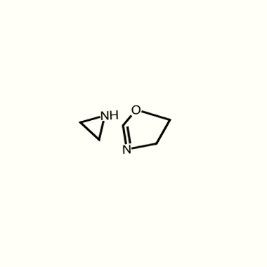 C1=NCCO1.C1CN1